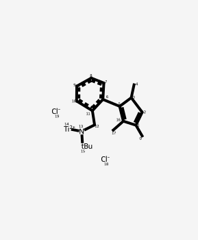 CC1=CC(C)C(c2ccccc2C[N]([Ti+2])C(C)(C)C)=C1C.[Cl-].[Cl-]